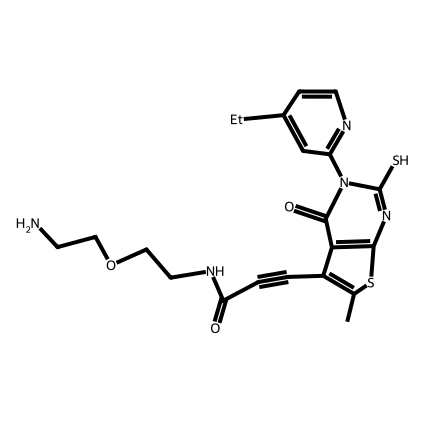 CCc1ccnc(-n2c(S)nc3sc(C)c(C#CC(=O)NCCOCCN)c3c2=O)c1